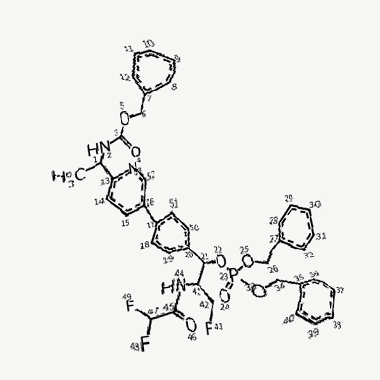 CC(NC(=O)OCc1ccccc1)c1ccc(-c2ccc([C@@H](OP(=O)(OCc3ccccc3)OCc3ccccc3)[C@@H](CF)NC(=O)C(F)F)cc2)cn1